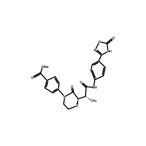 COC(=O)c1ccc(N2CCO[C@H]([C@@H](OC(C)=O)C(=O)Nc3ccc(-c4noc(=O)[nH]4)cc3)C2=O)cc1